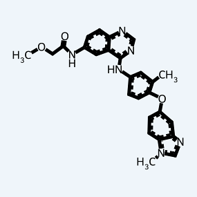 COCC(=O)Nc1ccc2ncnc(Nc3ccc(Oc4ccc5c(c4)ncn5C)c(C)c3)c2c1